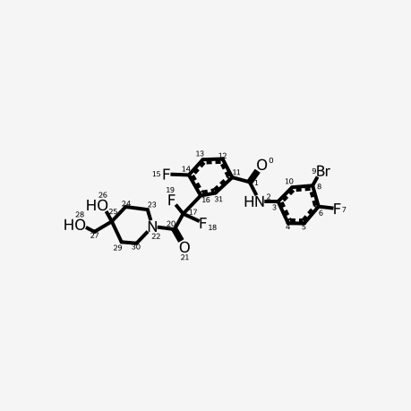 O=C(Nc1ccc(F)c(Br)c1)c1ccc(F)c(C(F)(F)C(=O)N2CCC(O)(CO)CC2)c1